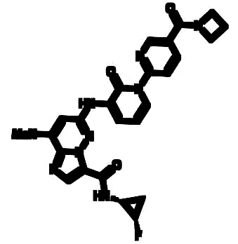 CNc1cc(Nc2cccn(-c3ccc(C(=O)N4CCC4)cn3)c2=O)nn2c(C(=O)N[C@@H]3C[C@@H]3F)cnc12